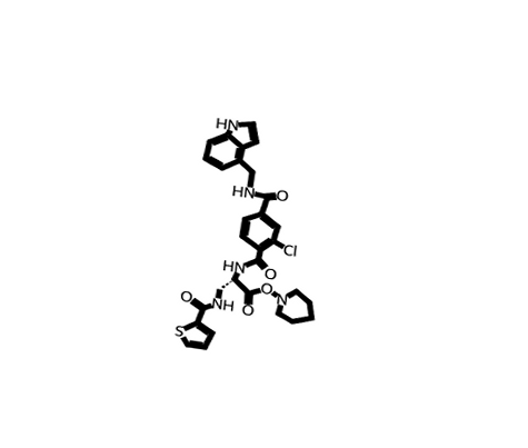 O=C(NCc1cccc2[nH]ccc12)c1ccc(C(=O)N[C@@H](CNC(=O)c2cccs2)C(=O)ON2CCCCC2)c(Cl)c1